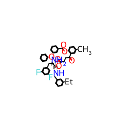 CCc1cccc(CNC[C@@H](OC(=O)CCC(=O)c2cc(C)ccc2OC(=O)c2cccc(Oc3ccccc3)c2)[C@@H](N)Cc2cc(F)cc(F)c2)c1